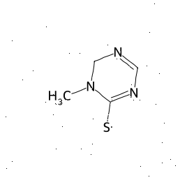 CN1CN=CN=C1[S]